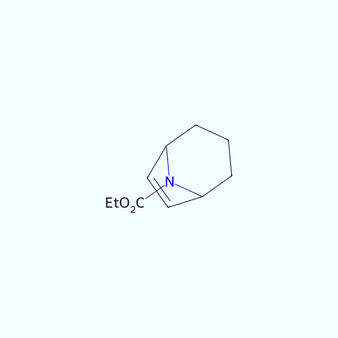 CCOC(=O)N1C2C=CC1CCC2